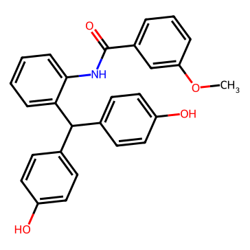 COc1cccc(C(=O)Nc2ccccc2C(c2ccc(O)cc2)c2ccc(O)cc2)c1